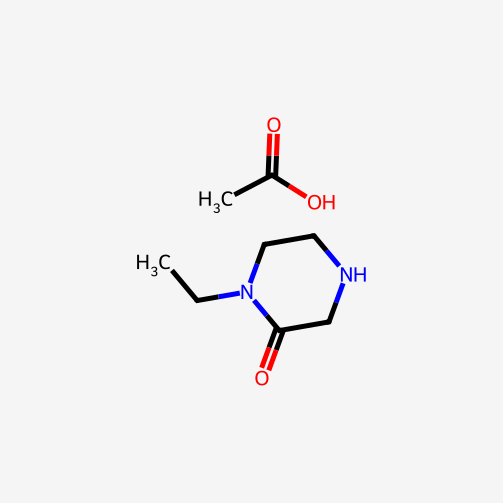 CC(=O)O.CCN1CCNCC1=O